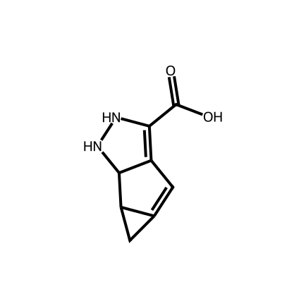 O=C(O)C1=C2C=C3CC3C2NN1